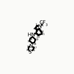 FC(F)(F)Cn1ccc2c(NC3CCC(N4CCSCC4)CC3)cccc21